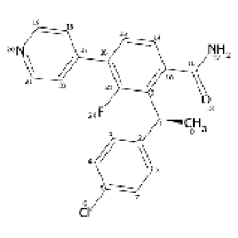 C[C@@H](c1ccc(Cl)cc1)c1c(C(N)=O)ccc(-c2ccncc2)c1F